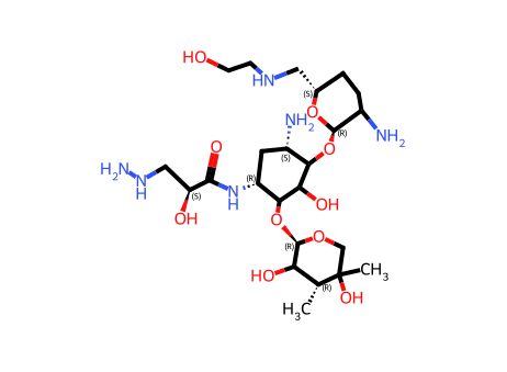 C[C@@H]1C(O)[C@@H](OC2C(O)C(O[C@H]3O[C@H](CNCCO)CCC3N)[C@@H](N)C[C@H]2NC(=O)[C@@H](O)CNN)OCC1(C)O